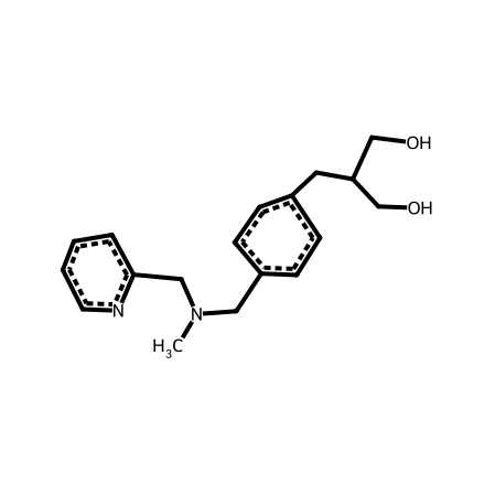 CN(Cc1ccc(CC(CO)CO)cc1)Cc1ccccn1